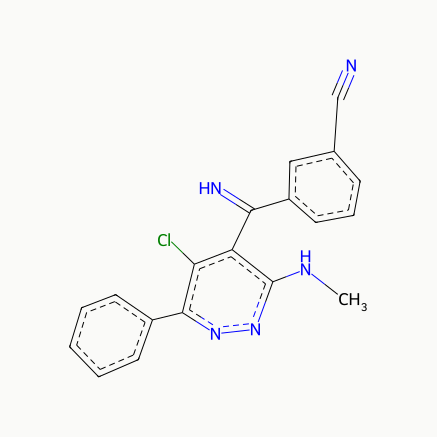 CNc1nnc(-c2ccccc2)c(Cl)c1C(=N)c1cccc(C#N)c1